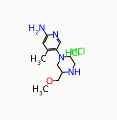 COCC1CN(c2cnc(N)cc2C)CCN1.Cl.Cl